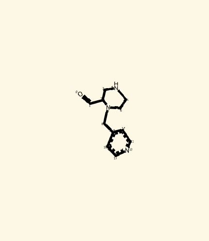 O=[C]C1CNCCN1Cc1ccncc1